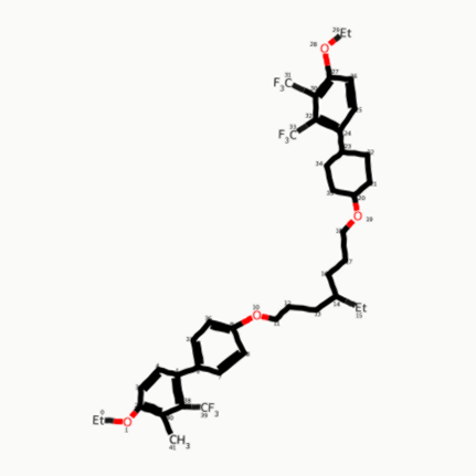 CCOc1ccc(-c2ccc(OCCCC(CC)CCCOC3CCC(c4ccc(OCC)c(C(F)(F)F)c4C(F)(F)F)CC3)cc2)c(C(F)(F)F)c1C